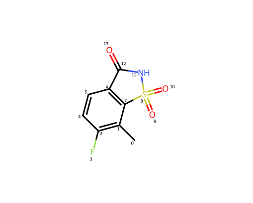 Cc1c(F)ccc2c1S(=O)(=O)NC2=O